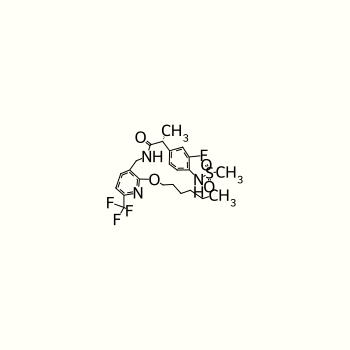 CCCCCCOc1nc(C(F)(F)F)ccc1CNC(=O)[C@H](C)c1ccc(NS(C)(=O)=O)c(F)c1